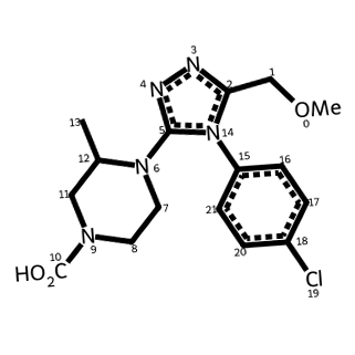 COCc1nnc(N2CCN(C(=O)O)CC2C)n1-c1ccc(Cl)cc1